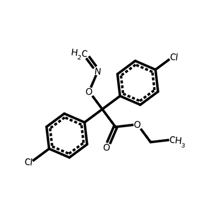 C=NOC(C(=O)OCC)(c1ccc(Cl)cc1)c1ccc(Cl)cc1